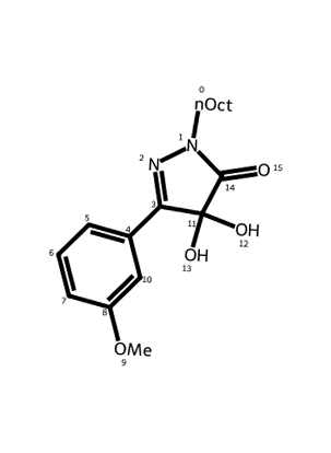 CCCCCCCCN1N=C(c2cccc(OC)c2)C(O)(O)C1=O